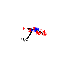 CCCCCCCCCCC(=O)NC(CSCC(O)CO)C(=O)Nc1cn(C[C@H](O)[C@H](O)[C@H](O)[C@H](O)CO)nn1